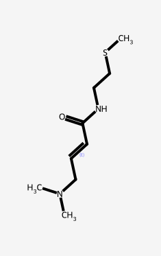 CSCCNC(=O)/C=C/CN(C)C